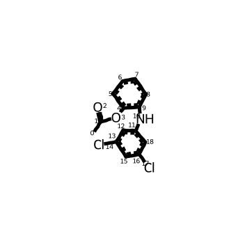 CC(=O)Oc1ccccc1Nc1cc(Cl)cc(Cl)c1